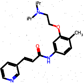 Cc1ccc(NC(=O)C=Cc2cccnc2)cc1OCCN(C(C)C)C(C)C